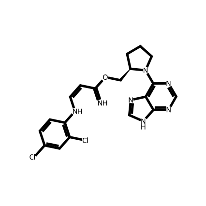 N=C(/C=C\Nc1ccc(Cl)cc1Cl)OC[C@H]1CCCN1c1ncnc2[nH]cnc12